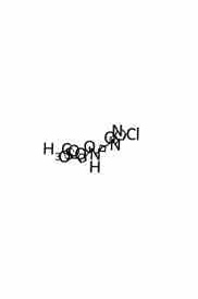 CS(=O)(=O)Cc1ccc(C(=O)NC23CC(c4nc5cc(Cl)cnc5o4)(C2)C3)o1